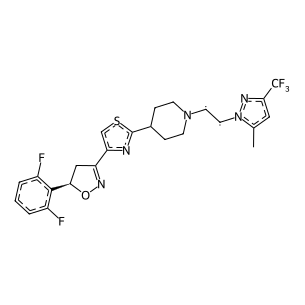 Cc1cc(C(F)(F)F)nn1[CH][CH]N1CCC(c2nc(C3=NO[C@@H](c4c(F)cccc4F)C3)cs2)CC1